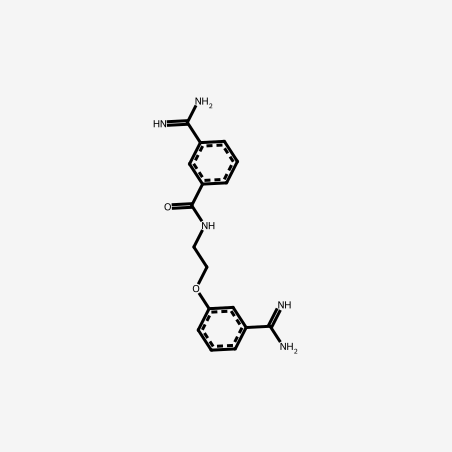 N=C(N)c1cccc(OCCNC(=O)c2cccc(C(=N)N)c2)c1